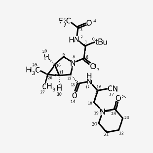 CC(C)(C)C(NC(=O)C(F)(F)F)C(=O)N1C[C@H]2[C@@H]([C@H]1C(=O)NC(C#N)CN1CCCCC1=O)C2(C)C